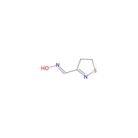 ON=CC1=NSCC1